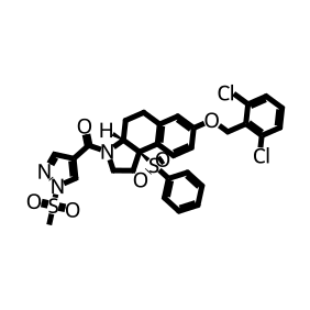 CS(=O)(=O)n1cc(C(=O)N2CC[C@@]3(S(=O)(=O)c4ccccc4)c4ccc(OCc5c(Cl)cccc5Cl)cc4CC[C@@H]23)cn1